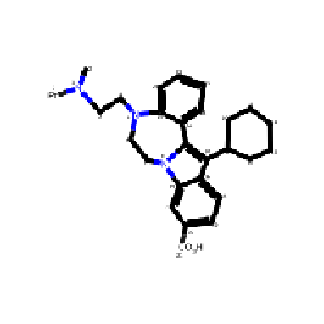 CC(C)N(C)CCN1CCn2c(c(C3CCCCC3)c3ccc(C(=O)O)cc32)-c2ccccc21